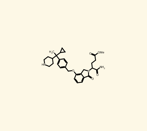 COC(=O)CCC(C(N)=O)N1Cc2c(OCc3ccc(C(C)(C4CCNCC4)C4CC4)cc3)cccc2C1=O